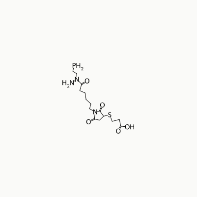 NN(CCP)C(=O)CCCCCN1C(=O)CC(SCCC(=O)O)C1=O